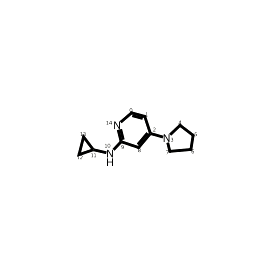 c1cc(N2CCCC2)cc(NC2CC2)n1